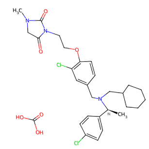 C[C@@H](c1ccc(Cl)cc1)N(Cc1ccc(OCCN2C(=O)CN(C)C2=O)c(Cl)c1)CC1CCCCC1.O=C(O)O